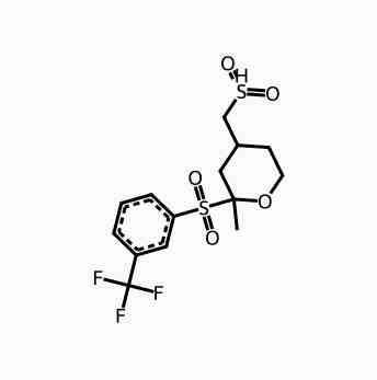 CC1(S(=O)(=O)c2cccc(C(F)(F)F)c2)CC(C[SH](=O)=O)CCO1